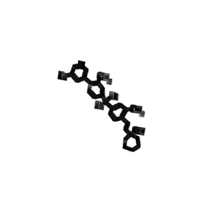 CCc1cncc(-c2ccc(C(CC)(CC)c3ccc(/C=C/C4(O)CCCCC4)c(C)c3)cc2C)c1